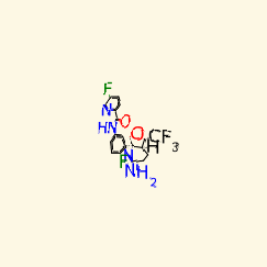 NC1=N[C@@]2(c3cc(NC(=O)c4ccc(F)cn4)ccc3F)CO[C@H](C(F)(F)F)[C@H]2CC1